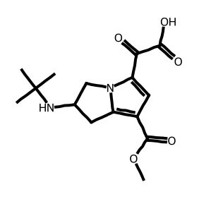 COC(=O)c1cc(C(=O)C(=O)O)n2c1CC(NC(C)(C)C)C2